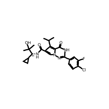 CC(C)c1c(C(=O)N[C@H](C2CC2)C(C)(C)O)cn2nc(-c3ccc(Cl)c(F)c3)[nH]c(=O)c12